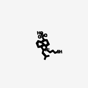 CC(C)=CC1=[N+](CCCS)c2ccc(S(=O)(=O)O)c3cccc1c23